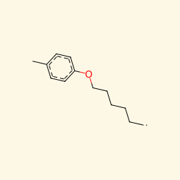 [CH2]CCCCCOc1ccc(C)cc1